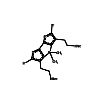 CCCCCCCCCCCCc1c(Br)sc2c1[Si](C)(C)c1c-2sc(Br)c1CCCCCCCCCCCC